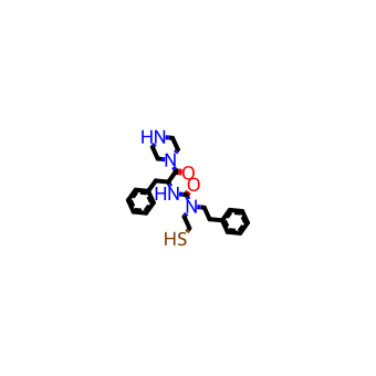 O=C(NC(Cc1ccccc1)C(=O)N1CCNCC1)N(CCS)CCc1ccccc1